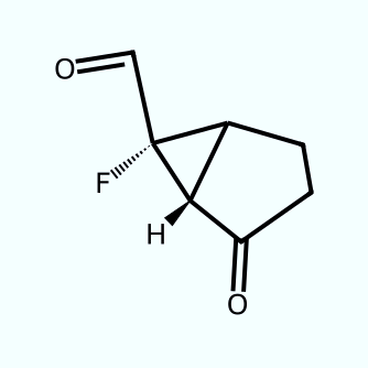 O=C[C@@]1(F)C2CCC(=O)[C@@H]21